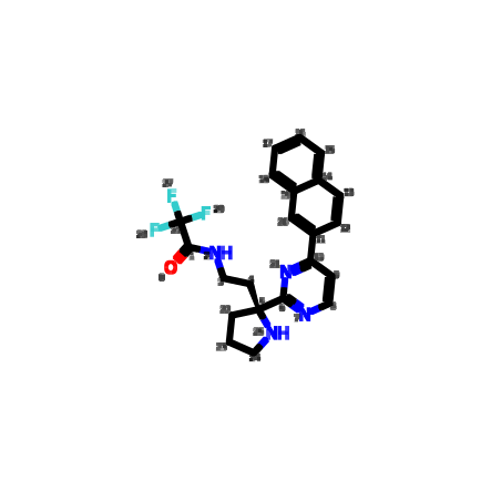 O=C(NCC[C@]1(c2nccc(-c3ccc4ccccc4c3)n2)CCCN1)C(F)(F)F